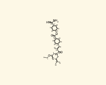 CCOC(=O)CN(CC=C(C)C)C(=O)/C(C)=C/c1ccc(C(=O)Oc2ccc(C(=N)N)cc2)cc1